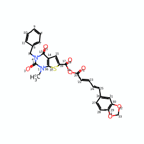 Cn1c(=O)n(Cc2ccccc2)c(=O)c2cc(C(=O)OC(=O)/C=C/C=C/c3ccc4c(c3)OCO4)sc21